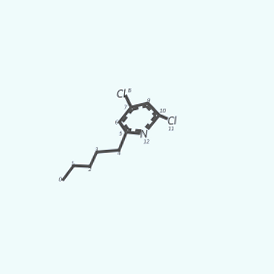 CCCCCc1cc(Cl)cc(Cl)n1